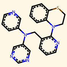 c1cncc(N(Cc2cccnc2N2CCSc3ccccc32)c2cncnc2)c1